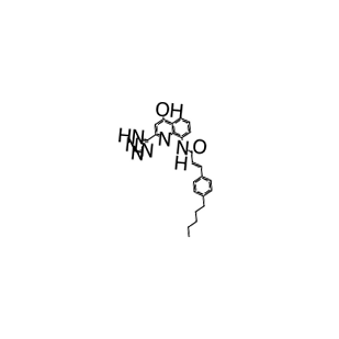 CCCCCc1ccc(C=CC(=O)Nc2cccc3c(O)cc(-c4nnn[nH]4)nc23)cc1